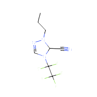 CCCN1N=CN(C(F)(F)C(F)(F)F)C1C#N